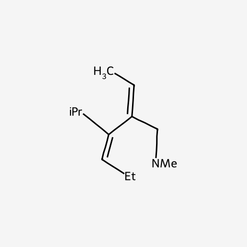 C/C=C(CNC)\C(=C/CC)C(C)C